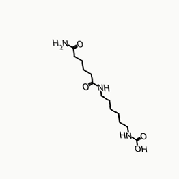 NC(=O)CCCCC(=O)NCCCCCCNC(=O)O